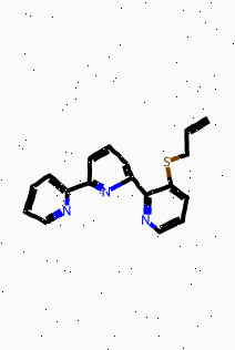 C=CCSc1cccnc1-c1cccc(-c2ccccn2)n1